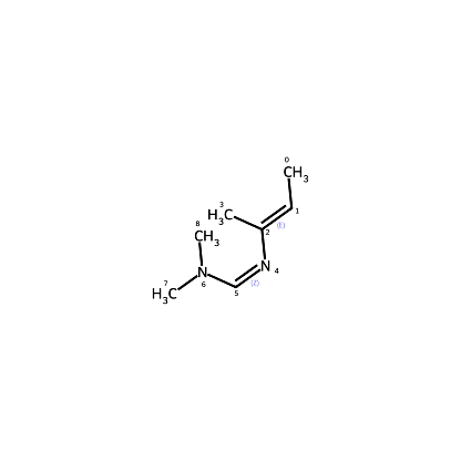 C/C=C(C)/N=C\N(C)C